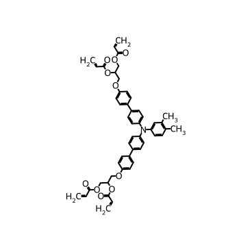 C=CC(=O)OCC(COc1ccc(-c2ccc(N(c3ccc(-c4ccc(OCC(COC(=O)C=C)OC(=O)C=C)cc4)cc3)c3ccc(C)c(C)c3)cc2)cc1)OC(=O)C=C